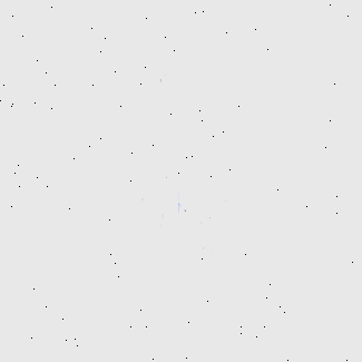 CCCCCCC1(NC(=O)O)CCCCC1